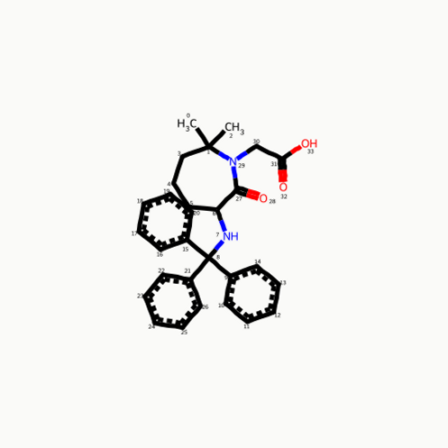 CC1(C)CCCC(NC(c2ccccc2)(c2ccccc2)c2ccccc2)C(=O)N1CC(=O)O